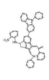 C=C1/C=c2\c(n3c4c(cc(-c5ccc6c(c5)c5ccccc5n6-c5ccccc5)cc24)C(Nc2ccccc2N)C3)=C/N(c2ccccc2)c2ccccc21